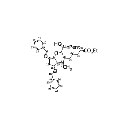 CCCCCC(O)COC1C(OCc2ccccc2)CC(OCc2ccccc2)C1N(C)CCCCCC(=O)OCC